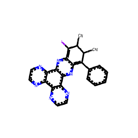 N#CC1C(I)=c2nc3c4nccnc4c4nccnc4c3nc2=C(c2ccccc2)C1C#N